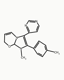 Cc1ccc(C2=C(c3ccncn3)N3C=CCOC3N2C)cc1